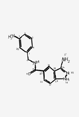 Nc1cccc(CNC(=O)c2ccc3[nH]nc(N)c3c2)c1